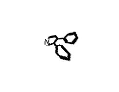 [c]1nccc(-c2ccccc2)c1-c1ccccc1